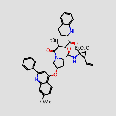 C=CC1CC1(NC(=O)[C@@H]1C[C@@H](Oc2cc(-c3ccccc3)nc3cc(OC)ccc23)CN1C(=O)C(CC(=O)[C@@H]1CCc2ccccc2N1)C(C)(C)C)C(=O)OCC